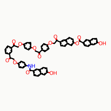 O=C(COc1ccc(OCC(=O)c2cccc(C(=O)COc3ccc(NC(=O)c4ccc5cc(O)ccc5c4)cc3)c2)cc1)c1ccc(OCC(=O)c2ccc3cc(OC(=O)c4ccc5cc(O)ccc5c4)ccc3c2)cc1